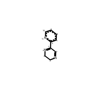 C1=NCCN=C1c1ccccn1